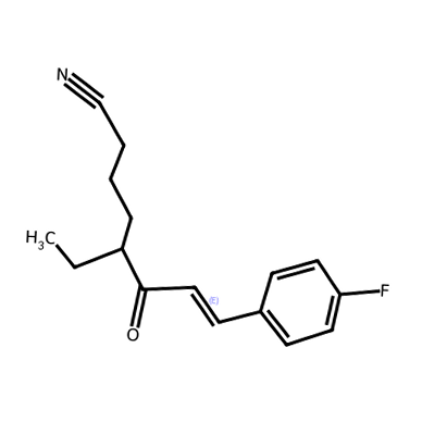 CCC(CCCC#N)C(=O)/C=C/c1ccc(F)cc1